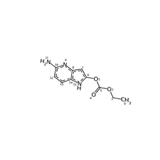 CCOC(=O)Oc1cc2nc(N)ccc2[nH]1